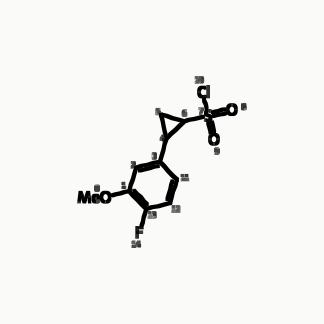 COc1cc(C2CC2S(=O)(=O)Cl)ccc1F